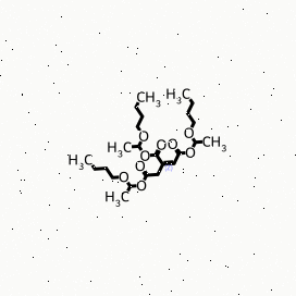 CCCCOC(C)OC(=O)/C=C(/CC(=O)OC(C)OCCCC)C(=O)OC(C)OCCCC